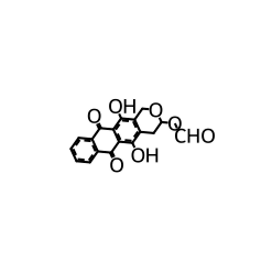 O=COC1Cc2c(O)c3c(c(O)c2CO1)C(=O)c1ccccc1C3=O